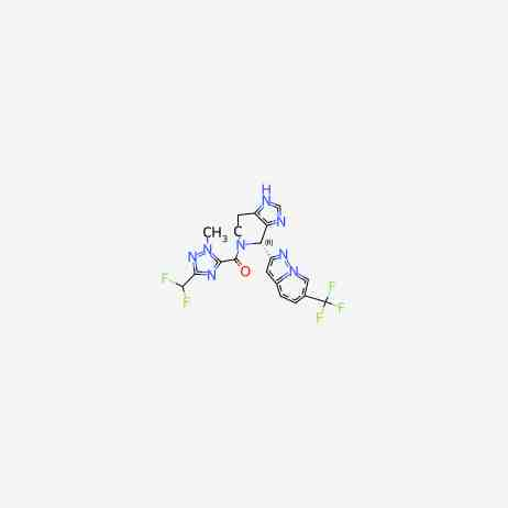 Cn1nc(C(F)F)nc1C(=O)N1CCc2[nH]cnc2[C@@H]1c1cc2ccc(C(F)(F)F)cn2n1